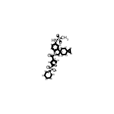 CS(=O)(=O)Nc1ccc2c(c1)C1(CCC3(CC3)CC1)CN2C(=O)c1csc(S(=O)(=O)N2CCCCC2)c1